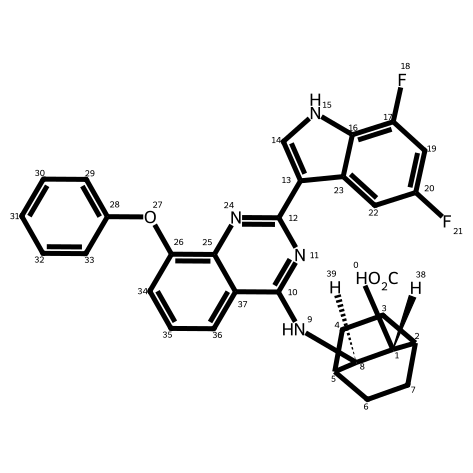 O=C(O)[C@@H]1C2CCC(CC2)[C@H]1Nc1nc(-c2c[nH]c3c(F)cc(F)cc23)nc2c(Oc3ccccc3)cccc12